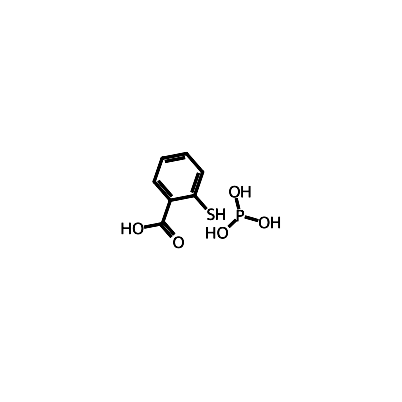 O=C(O)c1ccccc1S.OP(O)O